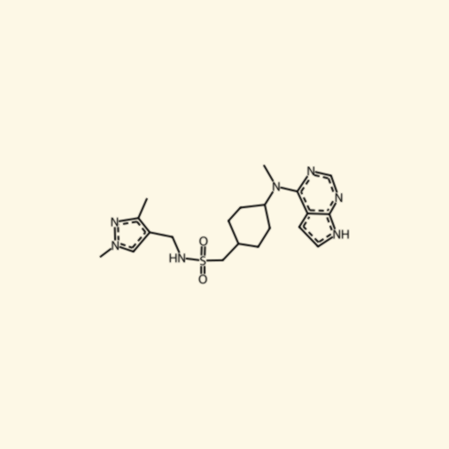 Cc1nn(C)cc1CNS(=O)(=O)CC1CCC(N(C)c2ncnc3[nH]ccc23)CC1